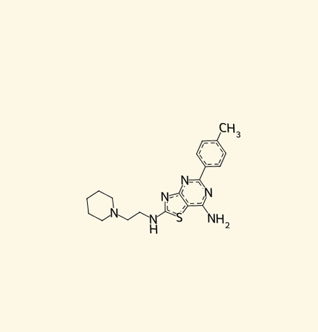 Cc1ccc(-c2nc(N)c3sc(NCCN4CCCCC4)nc3n2)cc1